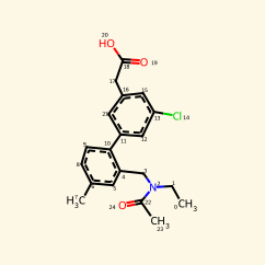 CCN(Cc1cc(C)ccc1-c1cc(Cl)cc(CC(=O)O)c1)C(C)=O